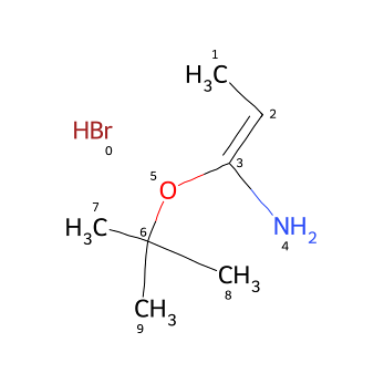 Br.CC=C(N)OC(C)(C)C